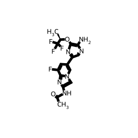 CC(=O)Nc1cn2cc(-c3cnc(N)c(O[C@H](C)C(F)(F)F)n3)cc(F)c2n1